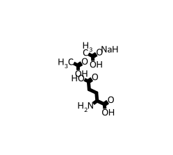 CC(=O)O.CC(=O)O.NC(CCC(=O)O)C(=O)O.[NaH]